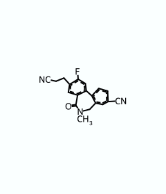 CN1Cc2cc(C#N)ccc2-c2cc(F)c(CCC#N)cc2C1=O